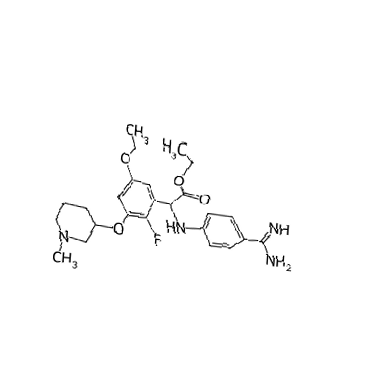 CCOC(=O)C(Nc1ccc(C(=N)N)cc1)c1cc(OCC)cc(OC2CCCN(C)C2)c1F